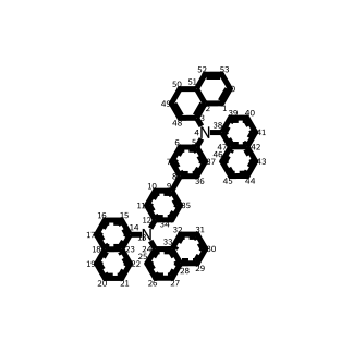 C1=CC2=C(N(c3ccc(-c4ccc(N(c5cccc6ccccc56)c5cccc6ccccc56)cc4)cc3)c3cccc4ccccc34)C=CCC2C=C1